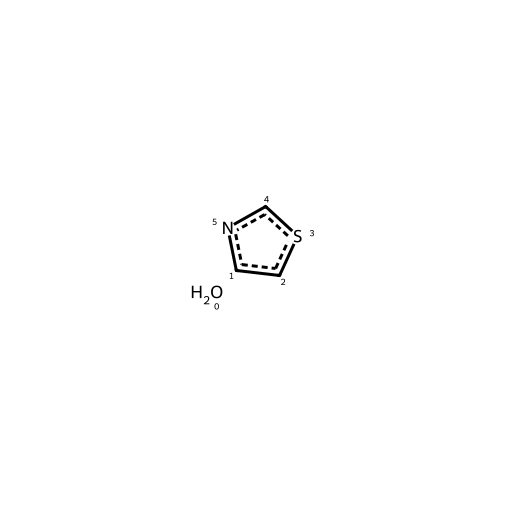 O.c1cscn1